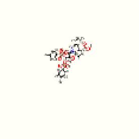 COC(=O)c1ccc2c(c1)N(Cc1ccccc1)C(=O)C(COS(=O)(=O)c1ccc(C)cc1)(COS(=O)(=O)c1ccc(C)cc1)O2